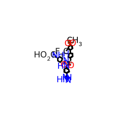 CS(=O)(=O)c1ccc(-c2ccc(C[C@H](NC(=O)[C@H]3CC[C@H](CNC(=O)O)CC3)C(=O)Nc3ccc(-c4nn[nH]n4)cc3)cc2)c(C(F)(F)F)c1